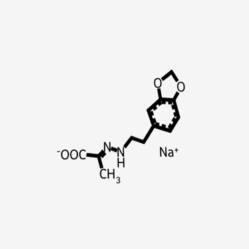 CC(=NNCCc1ccc2c(c1)OCO2)C(=O)[O-].[Na+]